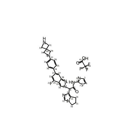 O=C(Nc1nccs1)C(c1ncn2c1CCC2)n1cc2c(F)cc(-c3ccc(N4CC5(CNC5)C4)cc3)cc2n1.O=C(O)C(F)(F)F